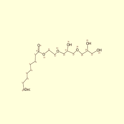 CCCCCCCCCCCCCCCCCC(=O)OCCOCC(O)COCC(O)CO